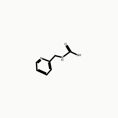 [NH]C(=O)NCc1ccccn1